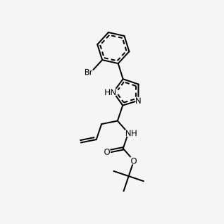 C=CCC(NC(=O)OC(C)(C)C)c1ncc(-c2ccccc2Br)[nH]1